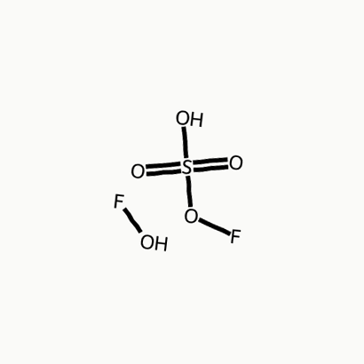 O=S(=O)(O)OF.OF